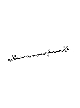 CC(C)OCCCCCCCCC(=O)NCCOCCOCCOCCOCCOCCOC(C)C